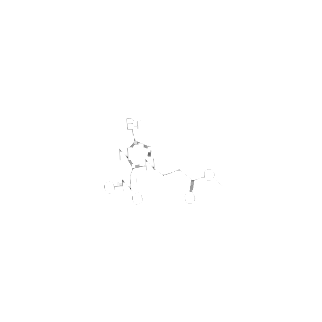 COC(=O)CCn1cc(Br)nc1[N+](=O)[O-]